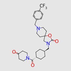 O=C1CCN(C(=O)[C@H]2CC[C@H](CN3CC4(CCN(Cc5ccc(C(F)(F)F)cc5)CC4)OC3=O)CC2)CC1